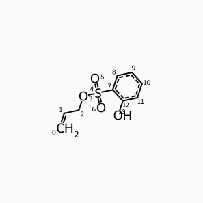 C=CCOS(=O)(=O)c1ccccc1O